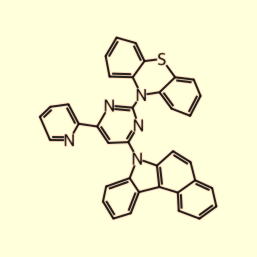 c1ccc(-c2cc(-n3c4ccccc4c4c5ccccc5ccc43)nc(N3c4ccccc4Sc4ccccc43)n2)nc1